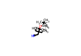 CCC(CC)(CC#N)C(C)(C)O[SiH2]C(C)(C)C